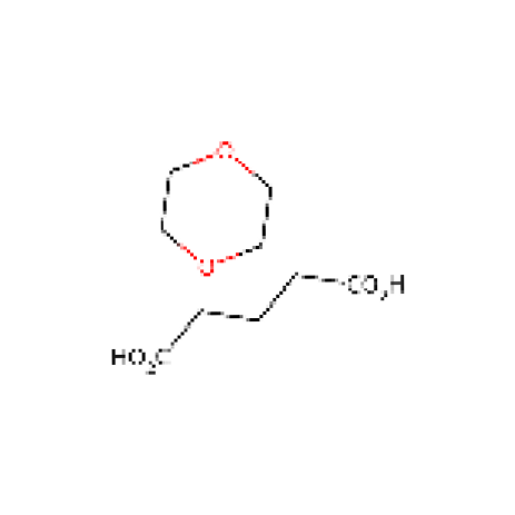 C1COCCO1.O=C(O)CCCC(=O)O